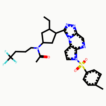 CCC1CC(N(CCCC(F)(F)F)C(C)=O)CC1c1nnc2cnc3c(ccn3S(=O)(=O)c3ccc(C)cc3)n12